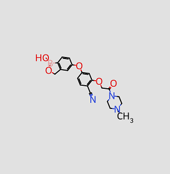 CN1CCN(C(=O)COc2cc(Oc3ccc4c(c3)COB4O)ccc2C#N)CC1